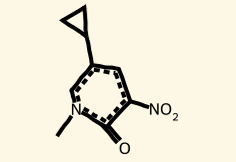 Cn1cc(C2CC2)cc([N+](=O)[O-])c1=O